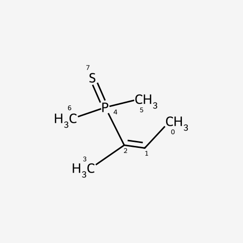 CC=C(C)P(C)(C)=S